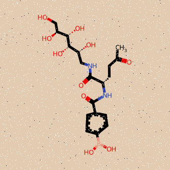 CC(=O)CC[C@H](NC(=O)c1ccc(B(O)O)cc1)C(=O)NC[C@@H](O)[C@H](O)[C@@H](O)[C@@H](O)CO